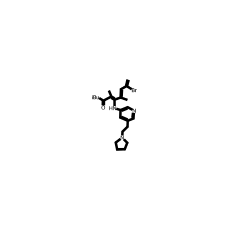 C=C(Br)/C=C(C)/C(Nc1cncc(CCN2CCCC2)c1)=C(\C)C(=O)C(C)CC